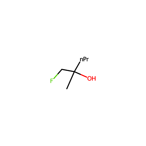 CCCC(C)(O)CF